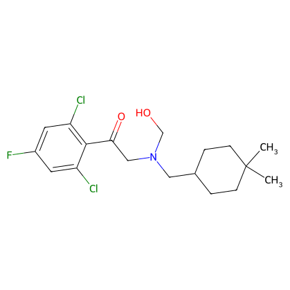 CC1(C)CCC(CN(CO)CC(=O)c2c(Cl)cc(F)cc2Cl)CC1